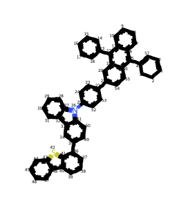 C1=CCCC(c2c3ccccc3c(-c3ccccc3)c3cc(-c4ccc(-n5c6ccccc6c6cc(-c7cccc8c7sc7ccccc78)ccc65)cc4)ccc23)=C1